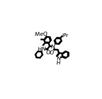 COc1ccc(C(C(=O)NC2CCCCC2)N(C(=O)Cc2c[nH]c3ccccc23)c2ccc(C(C)C)cc2)c(C)c1C